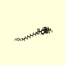 CCCCCCCCC=CCCCCCCCCOC(=O)C1=CC(C)(C(C)(C)CC)C(O)C=C1